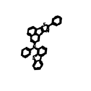 c1ccc(-c2nc3c(s2)-c2cccc4cc(N(c5ccccc5)c5cccc6c5sc5ccccc56)cc-3c24)cc1